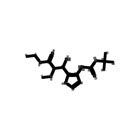 CCOC(=O)C(OC)C(O)c1occc1NC(=O)OC(C)(C)C